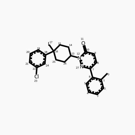 Cc1ccccc1-c1ccc(=O)n(C2CCC(I)(c3cccc(Cl)c3)CC2)n1